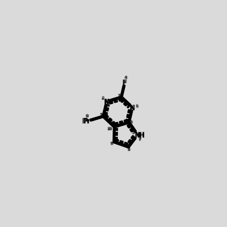 CC(C)c1nc(F)nc2[nH]ccc12